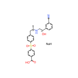 C[C@H](Cc1ccc(S(=O)(=O)c2ccc(C(=O)O)cc2)cc1)NC[C@@H](O)c1cccc(C#N)c1.[NaH]